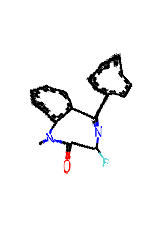 CN1C(=O)C(F)N=C(c2ccccc2)c2ccccc21